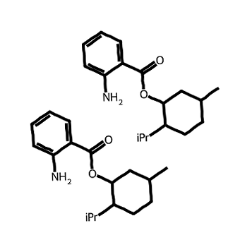 CC1CCC(C(C)C)C(OC(=O)c2ccccc2N)C1.CC1CCC(C(C)C)C(OC(=O)c2ccccc2N)C1